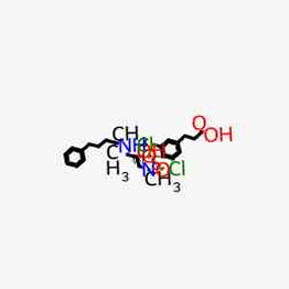 CN(C[C@H](O)CNC(C)(C)CCCc1ccccc1)S(=O)(=O)c1c(Cl)cc(CCC(=O)O)cc1Cl